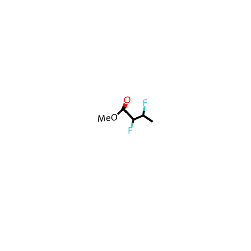 COC(=O)C(F)C(C)F